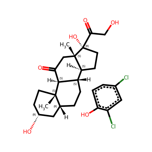 C[C@]12CC[C@@H](O)C[C@H]1CC[C@@H]1[C@@H]2C(=O)C[C@@]2(C)[C@H]1CC[C@]2(O)C(=O)CO.Oc1ccc(Cl)cc1Cl